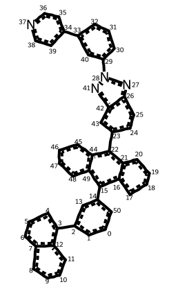 c1cc(-c2cccc3ccccc23)cc(-c2c3ccccc3c(-c3ccc4nn(-c5cccc(-c6ccncc6)c5)nc4c3)c3ccccc23)c1